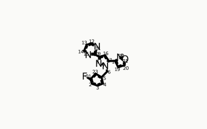 Fc1cccc(Cn2nc(-c3ncccn3)cc2-c2ccon2)c1